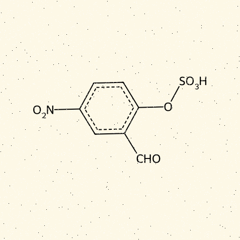 O=Cc1cc([N+](=O)[O-])ccc1OS(=O)(=O)O